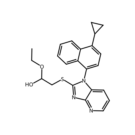 CCOC(O)CSc1nc2ncccc2n1-c1ccc(C2CC2)c2ccccc12